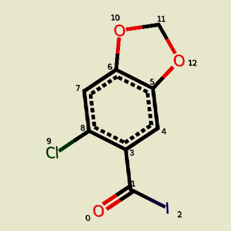 O=C(I)c1cc2c(cc1Cl)OCO2